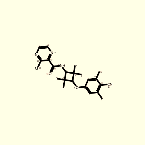 Cc1cc(OC2C(C)(C)C(NC(=O)c3nccnc3Cl)C2(C)C)cc(C)c1C#N